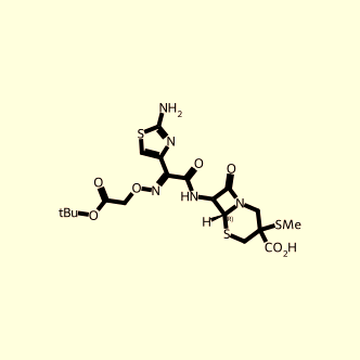 CSC1(C(=O)O)CS[C@@H]2C(NC(=O)C(=NOCC(=O)OC(C)(C)C)c3csc(N)n3)C(=O)N2C1